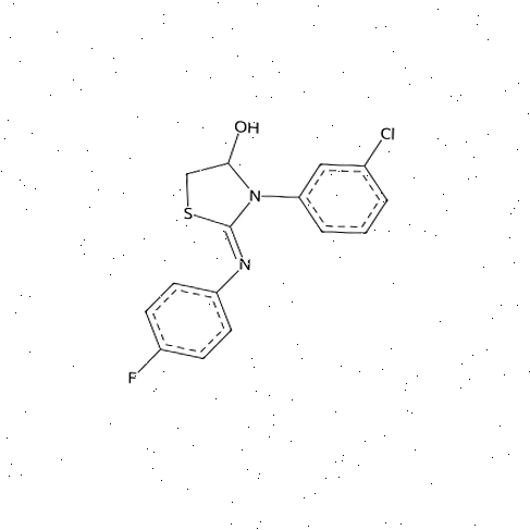 OC1CS/C(=N\c2ccc(F)cc2)N1c1cccc(Cl)c1